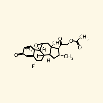 CC(=O)OCC(=O)[C@H]1[C@H](C)C[C@H]2[C@@H]3C[C@H](F)C4=CC(=O)C=C[C@]4(C)[C@@]34O[C@H]4C[C@@]21C